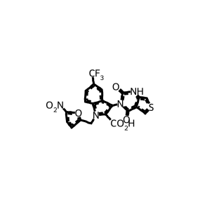 O=C(O)c1c(-n2c(=O)[nH]c3cscc3c2=O)c2cc(C(F)(F)F)ccc2n1Cc1ccc([N+](=O)[O-])o1